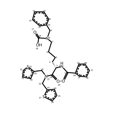 O=C(N[C@@H](CCCCN(Cc1ccccc1)C(=O)O)C(=O)N(Cc1cccs1)Cc1cccs1)c1ccccc1